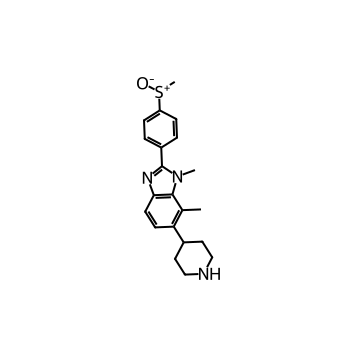 Cc1c(C2CCNCC2)ccc2nc(-c3ccc([S+](C)[O-])cc3)n(C)c12